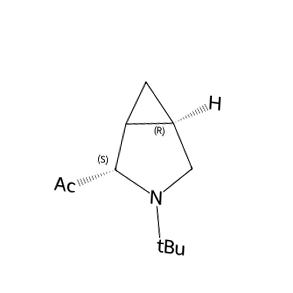 CC(=O)[C@@H]1C2C[C@H]2CN1C(C)(C)C